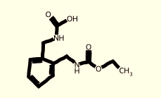 CCOC(=O)NCc1ccccc1CNC(=O)O